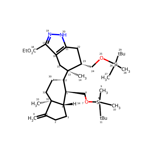 C=C1CC[C@H]2[C@H](CO[Si](C)(C)C(C)(C)C)[C@@H]([C@@]3(C)Cc4c(C(=O)OCC)n[nH]c4C[C@@H]3CO[Si](C)(C)C(C)(C)C)CC[C@]12C